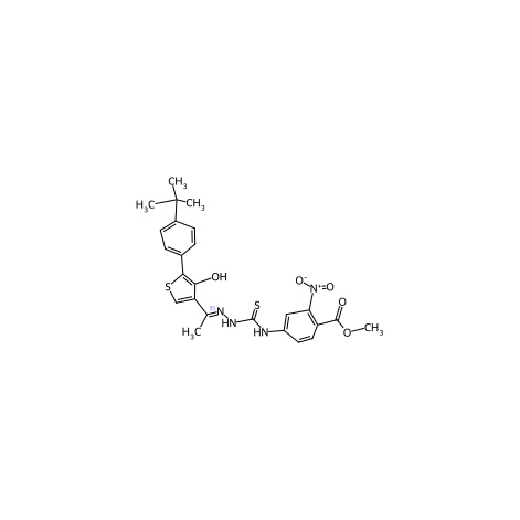 COC(=O)c1ccc(NC(=S)N/N=C(\C)c2csc(-c3ccc(C(C)(C)C)cc3)c2O)cc1[N+](=O)[O-]